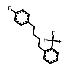 Fc1ccc([CH]CCCc2ccccc2C(F)(F)F)cc1